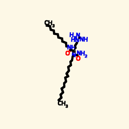 CCCCCCCCCCCCCCCCCCN(C(N)=O)[C@@H](CCCNC(=N)N)C(=O)NCCCCCCCCCCCC